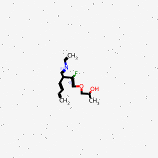 C=CC=CC(/C=N/C=C)/C(F)=C/OCC(C)O